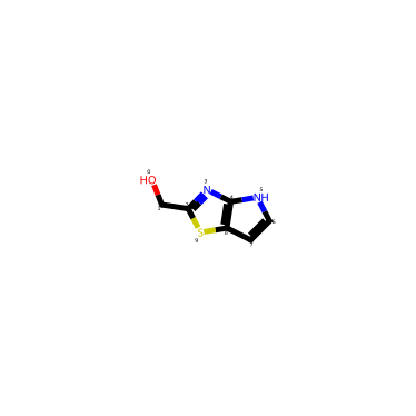 OCc1nc2[nH]ccc2s1